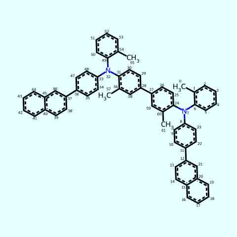 Cc1ccccc1N(c1ccc(-c2ccc3ccccc3c2)cc1)c1ccc(-c2ccc(N(c3ccc(-c4ccc5ccccc5c4)cc3)c3ccccc3C)c(C)c2)cc1C